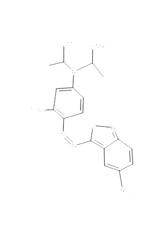 COC(C)N(c1ccc(/N=N\c2snc3ccc([N+](=O)[O-])cc23)c(NC(C)=O)c1)C(C)OC